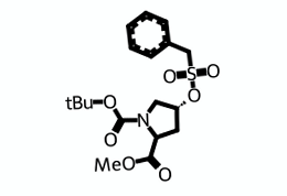 COC(=O)C1C[C@@H](OS(=O)(=O)Cc2ccccc2)CN1C(=O)OC(C)(C)C